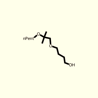 [CH2]CCCCOC(C)(C)COCCCCO